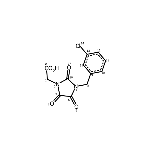 O=C(O)CN1C(=O)C(=O)N(Cc2cccc(Cl)c2)C1=O